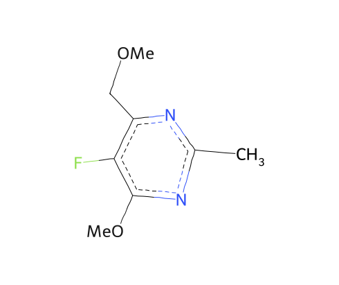 COCc1nc(C)nc(OC)c1F